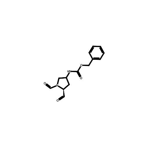 O=C[C@@H]1CC(NC(=O)OCc2ccccc2)CN1C=O